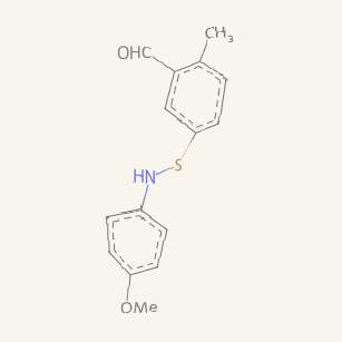 COc1ccc(NSc2ccc(C)c(C=O)c2)cc1